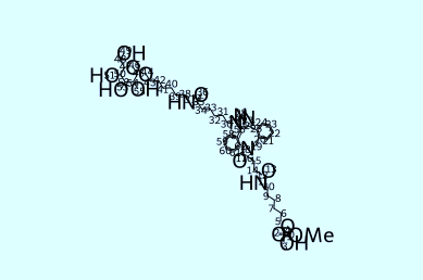 COP(=O)(O)OCCCCCCNC(=O)CCC(=O)N1Cc2ccccc2-c2nnn(CCCCCC(=O)NCCCCCCO[C@H]3O[C@H](CO)C(O)C(O)C3O)c2-c2ccccc21